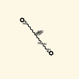 Cl.Cl.Cl.Cl.c1ccc(CNCCCCCCCCCCCCCNNCCCNCc2ccccc2)cc1